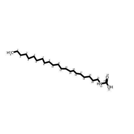 CCCCCCCCCCCCCCCCCCCCCCNC(=O)O